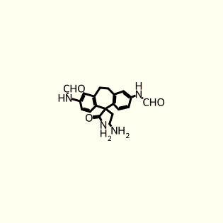 NCCC1(C(N)=O)c2ccc(NC=O)cc2CCc2cc(NC=O)ccc21